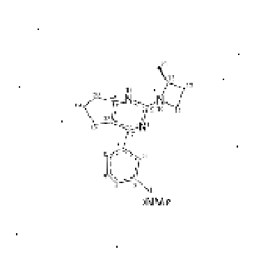 CNCc1cccc(-c2nc(N3CC[C@@H]3C)nc3c2CCC3)c1